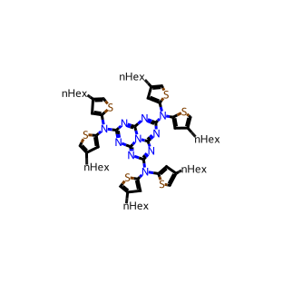 CCCCCCc1csc(N(C2=NC3=NC(N(c4cc(CCCCCC)cs4)c4cc(CCCCCC)cs4)=NC4=NC(N(c5cc(CCCCCC)cs5)c5cc(CCCCCC)cs5)=NC(=N2)N34)c2cc(CCCCCC)cs2)c1